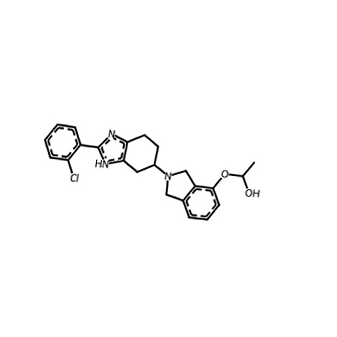 CC(O)Oc1cccc2c1CN(C1CCc3nc(-c4ccccc4Cl)[nH]c3C1)C2